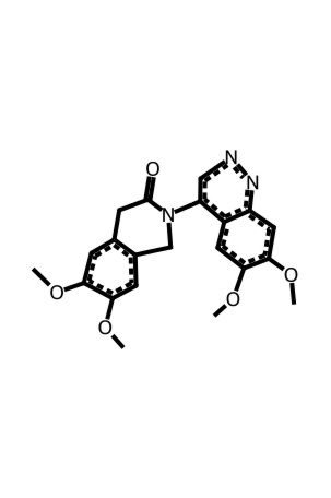 COc1cc2c(cc1OC)CN(c1cnnc3cc(OC)c(OC)cc13)C(=O)C2